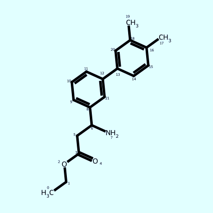 CCOC(=O)CC(N)c1cccc(-c2ccc(C)c(C)c2)c1